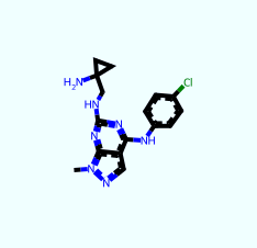 Cn1ncc2c(Nc3ccc(Cl)cc3)nc(NCC3(N)CC3)nc21